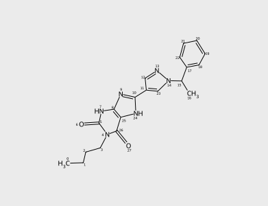 CCCCn1c(=O)[nH]c2nc(-c3cnn(C(C)c4ccccc4)c3)[nH]c2c1=O